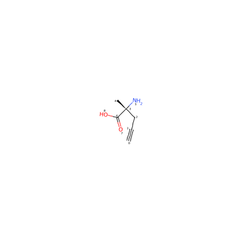 C#CC[C@@](C)(N)C(=O)O